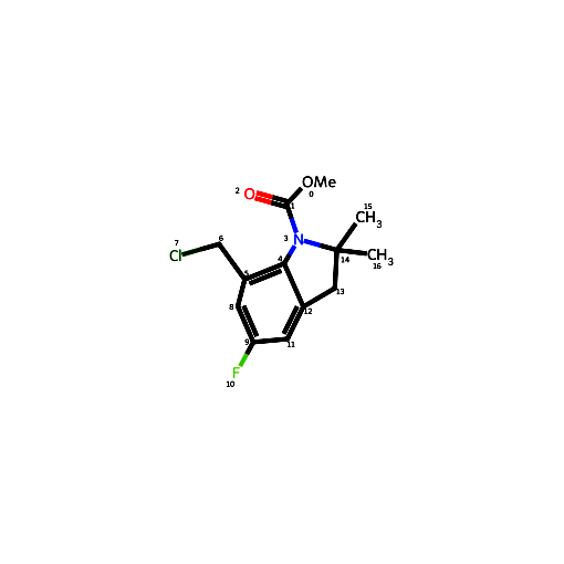 COC(=O)N1c2c(CCl)cc(F)cc2CC1(C)C